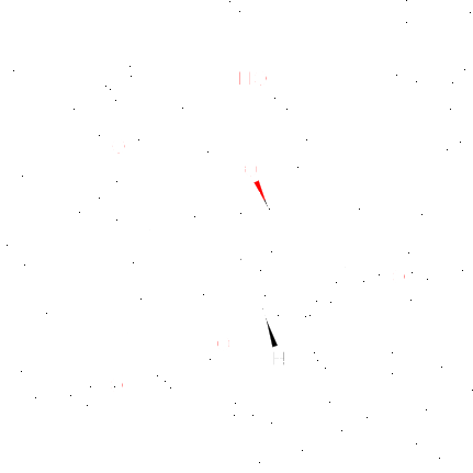 COc1ccc(C=O)c2c1O[C@H]1CC(=O)C[C@H](OCO)C21C